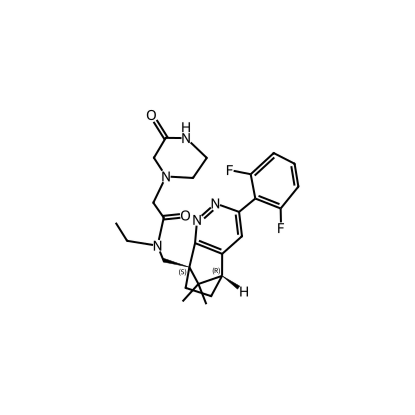 CCN(C[C@@]12CC[C@@H](c3cc(-c4c(F)cccc4F)nnc31)C2(C)C)C(=O)CN1CCNC(=O)C1